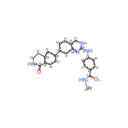 CC(C)NC(=O)c1ccc(Nc2ncc3ccc(-c4ccc5c(c4)CCNC5=O)cc3n2)cc1